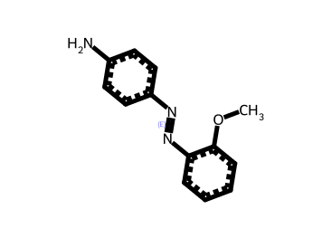 COc1ccccc1/N=N/c1ccc(N)cc1